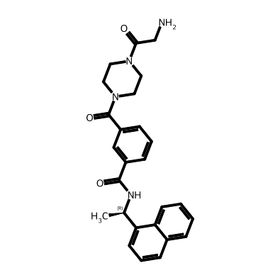 C[C@@H](NC(=O)c1cccc(C(=O)N2CCN(C(=O)CN)CC2)c1)c1cccc2ccccc12